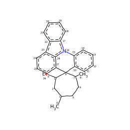 CCC1CC(C)CCC(C)C12c1ccccc1-n1c3ccccc3c3cccc2c31